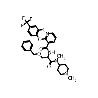 CN1CCC(N(C)C(=O)[C@@H](COCc2ccccc2)NC(=O)c2cccnc2Oc2ccc(C(F)(F)F)cc2Cl)CC1